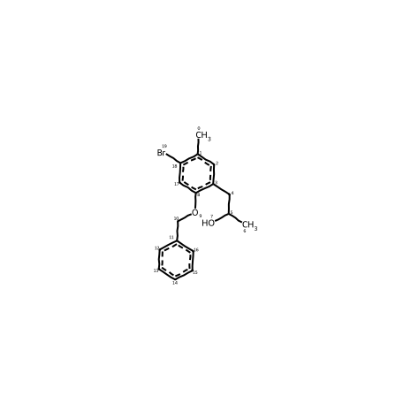 Cc1cc(CC(C)O)c(OCc2ccccc2)cc1Br